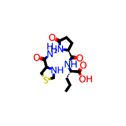 CCC[C@H](NC(=O)[C@@H]1CCC(=O)N1)C(=O)O.NC(=O)C1CSCN1